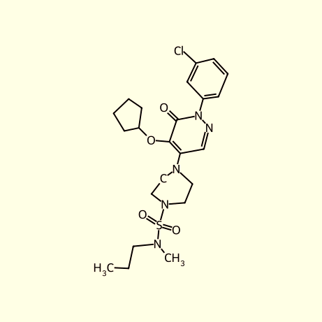 CCCN(C)S(=O)(=O)N1CCN(c2cnn(-c3cccc(Cl)c3)c(=O)c2OC2CCCC2)CC1